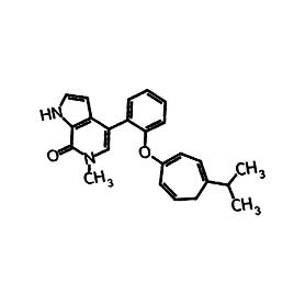 CC(C)C1=CC=C(Oc2ccccc2-c2cn(C)c(=O)c3[nH]ccc23)C=CC1